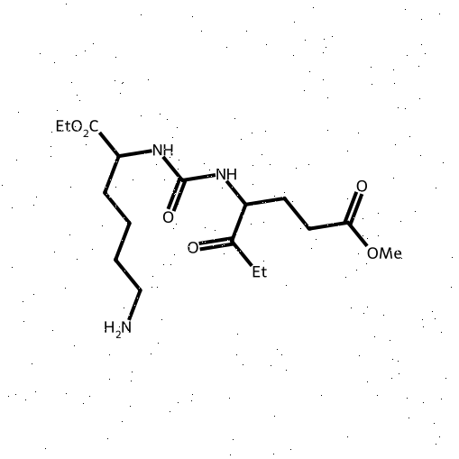 CCOC(=O)C(CCCCN)NC(=O)NC(CCC(=O)OC)C(=O)CC